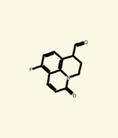 O=CC1CCn2c(=O)ccc3c(F)ccc1c32